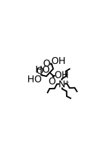 CCCC[N+](CCCC)(CCCC)CCCC.O=C(O)CC(O)(CC(=O)O)C(=O)O